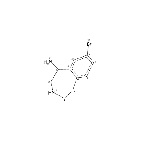 NC1CNCCc2ccc(Br)cc21